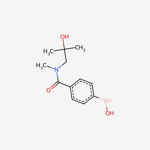 CN(CC(C)(C)O)C(=O)c1ccc(BO)cc1